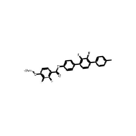 CCCCCOc1ccc(C(=O)Oc2ccc(-c3ccc(-c4ccc(C)cc4)c(F)c3F)cc2)c(F)c1F